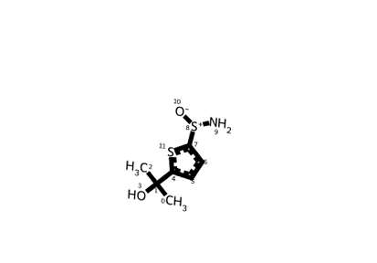 CC(C)(O)c1ccc([S+](N)[O-])s1